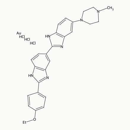 CCOc1ccc(-c2nc3cc(-c4nc5cc(N6CCN(C)CC6)ccc5[nH]4)ccc3[nH]2)cc1.Cl.Cl.Cl.[Au]